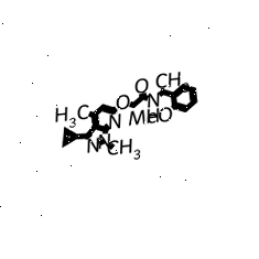 COc1ccccc1[C@H](C)NC(=O)COc1cc(C)c2c(C3CC3)nn(C)c2n1